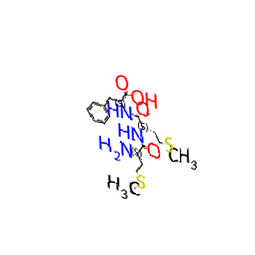 CSCC[C@H](NC(=O)[C@@H](N)CCSC)C(=O)N[C@@H](Cc1ccccc1)C(=O)O